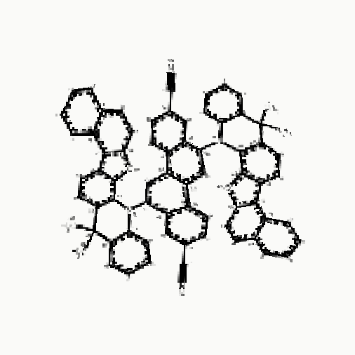 CC1(C)c2ccccc2N(c2cc3c4ccc(C#N)cc4c(N4c5ccccc5C(C)(C)c5ccc6c(oc7ccc8ccccc8c76)c54)cc3c3ccc(C#N)cc23)c2c1ccc1c2oc2ccc3ccccc3c21